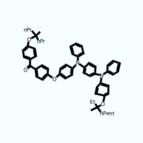 CCCCCC(C)(CC)Oc1ccc(N(c2ccccc2)c2ccc(N(c3ccccc3)c3ccc(Oc4ccc(C(=O)c5ccc(OC(C)(CCC)CCC)cc5)cc4)cc3)cc2)cc1